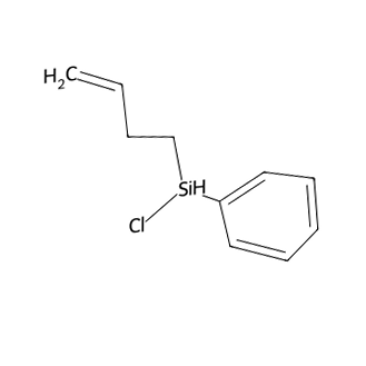 C=CCC[SiH](Cl)c1ccccc1